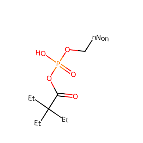 CCCCCCCCCCOP(=O)(O)OC(=O)C(CC)(CC)CC